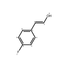 OC=Cc1ccc(F)cc1